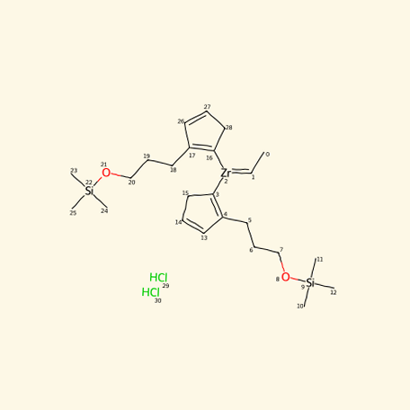 C[CH]=[Zr]([C]1=C(CCCO[Si](C)(C)C)C=CC1)[C]1=C(CCCO[Si](C)(C)C)C=CC1.Cl.Cl